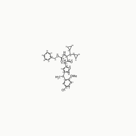 COc1nnc(Cl)cc1C(C)c1cc(NC(=O)C(NC(=O)OCc2ccccc2)C(C2CC2)C2CC2)on1